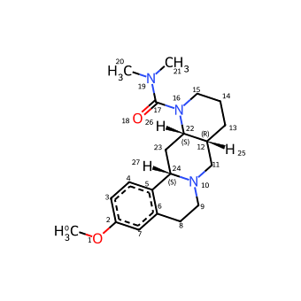 COc1ccc2c(c1)CCN1C[C@H]3CCCN(C(=O)N(C)C)[C@H]3C[C@@H]21